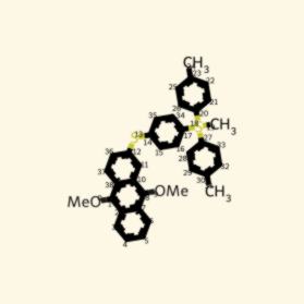 COc1c2ccccc2c(OC)c2cc(Sc3ccc(S(C)(c4ccc(C)cc4)c4ccc(C)cc4)cc3)ccc12